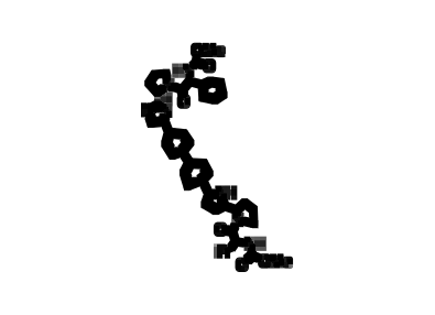 COC(=O)NC(C(=O)N1CCCC1c1ccc(-c2ccc(-c3ccc(-c4cnc([C@@H]5CCCN5C(=O)[C@@H](NC(=O)OC)c5ccccc5)[nH]4)cc3)cc2)[nH]1)C(C)C